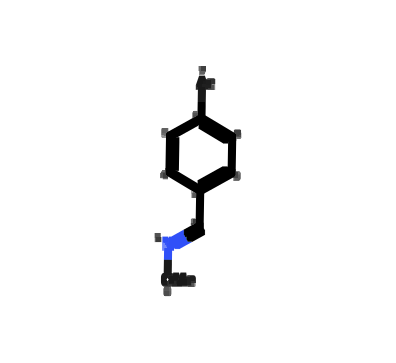 CON=Cc1ccc(C(C)=O)cc1